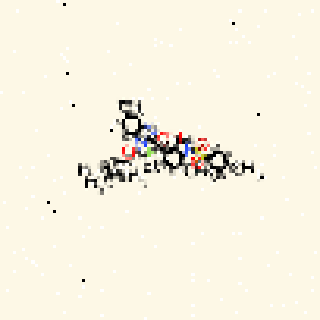 CCc1cc(C)c2c(ccn2S(=O)(=O)c2ccc(C)cc2)c1C(O)(F)c1nc2cc(C#N)ccc2n1COCC[Si](C)(C)C